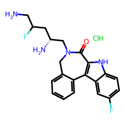 Cl.NCC(F)C[C@@H](N)CN1Cc2ccccc2-c2c([nH]c3ccc(F)cc23)C1=O